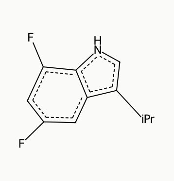 CC(C)c1c[nH]c2c(F)cc(F)cc12